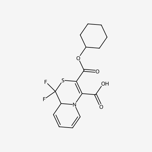 O=C(O)C1=C(C(=O)OC2CCCCC2)SC(F)(F)C2C=CC=CN12